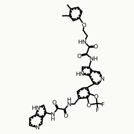 Cc1ccc(OCCNC(=O)C(=O)Nc2c[nH]c3c(-c4ccc(CNC(=O)C(=O)Nc5c[nH]c6ccncc56)c5c4OC(F)(F)O5)cncc23)cc1C